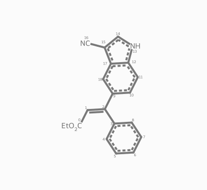 CCOC(=O)C=C(c1ccccc1)c1ccc2[nH]cc(C#N)c2c1